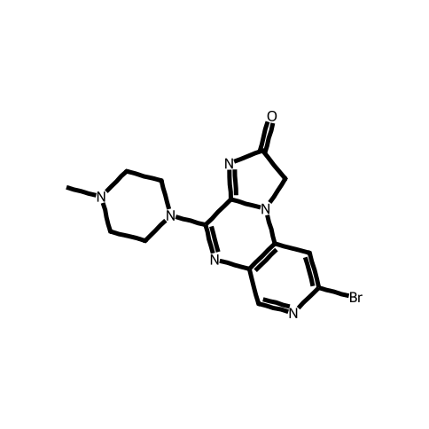 CN1CCN(C2=Nc3cnc(Br)cc3N3CC(=O)N=C23)CC1